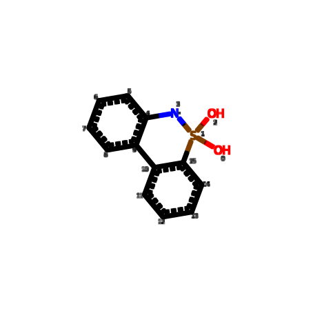 OS1(O)[N]c2ccccc2-c2ccccc21